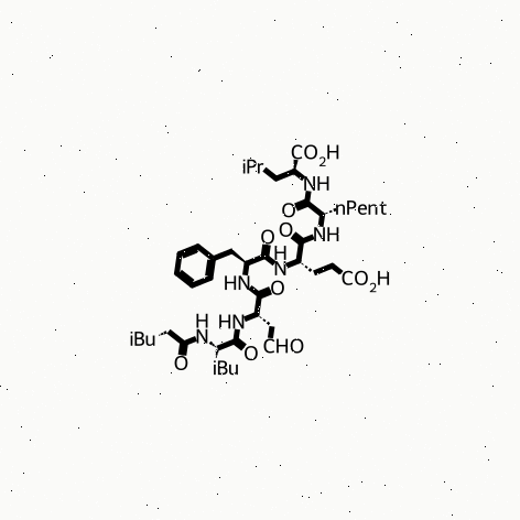 CCCCC[C@H](NC(=O)[C@H](CCC(=O)O)NC(=O)[C@H](Cc1ccccc1)NC(=O)[C@H](CC=O)NC(=O)[C@@H](NC(=O)C[C@@H](C)CC)[C@@H](C)CC)C(=O)N[C@@H](CC(C)C)C(=O)O